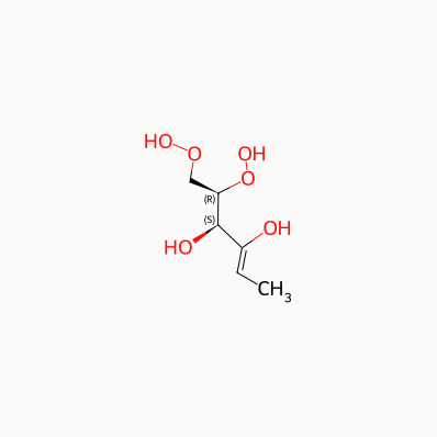 CC=C(O)[C@@H](O)[C@@H](COO)OO